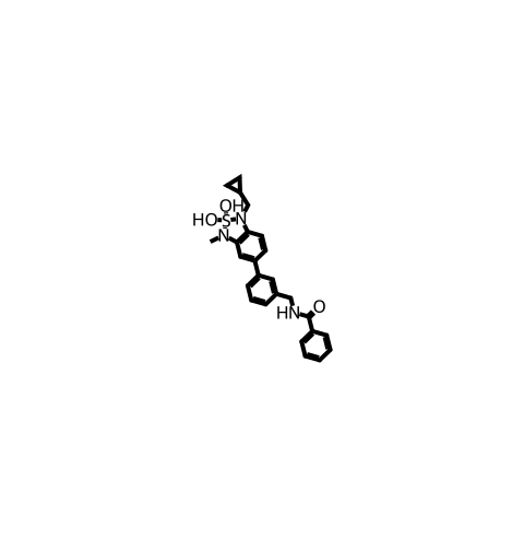 CN1c2cc(-c3cccc(CNC(=O)c4ccccc4)c3)ccc2N(CC2CC2)S1(O)O